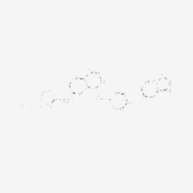 Cc1cc(Nc2ncnc3ccc(NC4=N[C@H](C)CO4)cc23)ccc1Oc1ccn2ncnc2c1